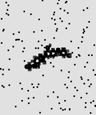 COCCN(Cc1ccc(Oc2ccc(Cl)cn2)cc1)c1nc2ccc(NC3COC3)cc2n1C